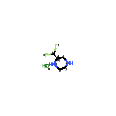 Cl.FC(F)[C@@H]1CNCCN1